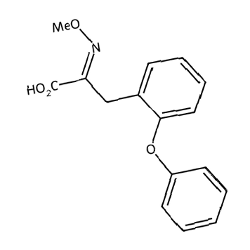 CON=C(Cc1ccccc1Oc1ccccc1)C(=O)O